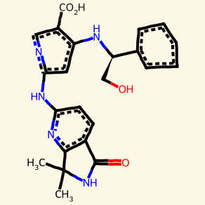 CC1(C)NC(=O)c2ccc(Nc3cc(N[C@H](CO)c4ccccc4)c(C(=O)O)cn3)nc21